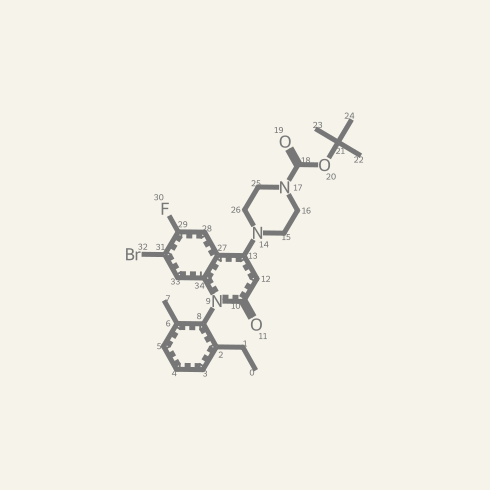 CCc1cccc(C)c1-n1c(=O)cc(N2CCN(C(=O)OC(C)(C)C)CC2)c2cc(F)c(Br)cc21